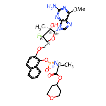 COc1nc(N)nc2c1ncn2[C@@H]1O[C@H](COc2ccc3ccccc3c2O/[P+]([O-])=N/[C@@H](C)C(=O)OC2CCOCC2)[C@@H](F)[C@@]1(C)O